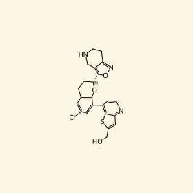 OCc1cc2nccc(-c3cc(Cl)cc4c3O[C@@H](c3onc5c3CNCC5)CC4)c2s1